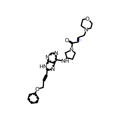 O=C(/C=C/CN1CCOCC1)N1CCC(Nc2ncnc3[nH]c(C#CCOc4ccccc4)nc23)C1